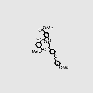 COC(=O)c1ccc(OCCCc2ccc(OCc3ccc(OCC(C)C)cc3)cc2)c(C(=O)NC2CCCC(C(=O)OC)C2)c1